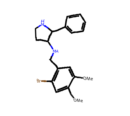 COc1cc(Br)c(CNC2CCNC2c2ccccc2)cc1OC